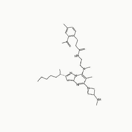 C=C(CCc1ccc(C)cc1C(=C)C)NCCN(C)c1c(C)c(N2CC(NC)C2)nc2cc(C(C)CCCCC)nn12